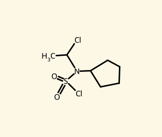 CC(Cl)N(C1CCCC1)S(=O)(=O)Cl